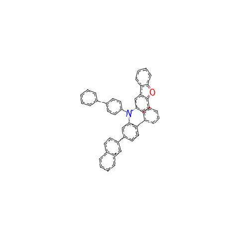 c1ccc(-c2ccc(N(c3ccc4oc5ccccc5c4c3)c3cc(-c4ccc5ccccc5c4)ccc3-c3ccccc3)cc2)cc1